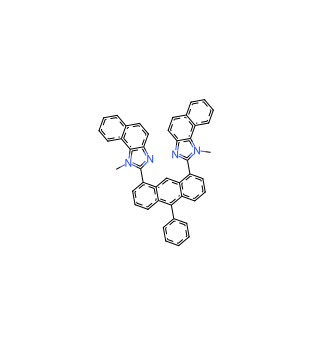 Cn1c(-c2cccc3c(-c4ccccc4)c4cccc(-c5nc6ccc7ccccc7c6n5C)c4cc23)nc2ccc3ccccc3c21